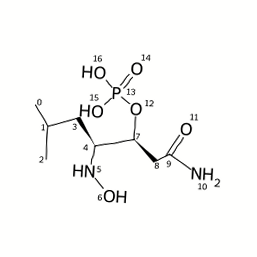 CC(C)C[C@H](NO)[C@H](CC(N)=O)OP(=O)(O)O